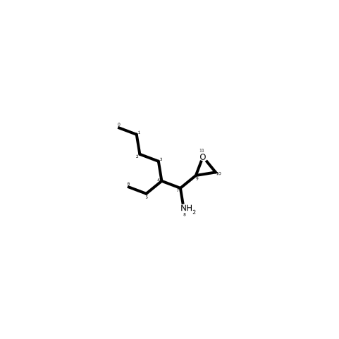 CCCCC(CC)C(N)C1CO1